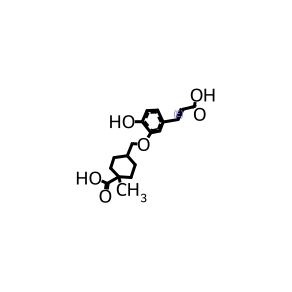 CC1(C(=O)O)CCC(COc2cc(/C=C/C(=O)O)ccc2O)CC1